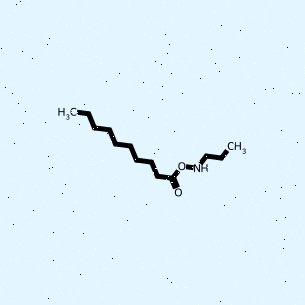 CCCCCCCCCC(=O)ONCCC